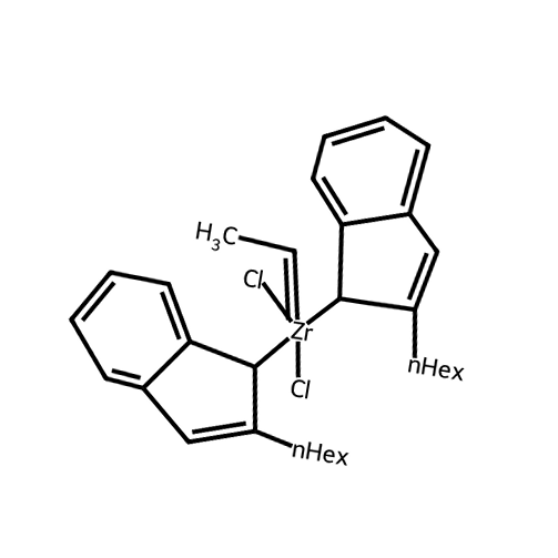 C[CH]=[Zr]([Cl])([Cl])([CH]1C(CCCCCC)=Cc2ccccc21)[CH]1C(CCCCCC)=Cc2ccccc21